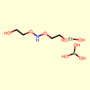 CCO.OB(O)O.OCCONOCCO